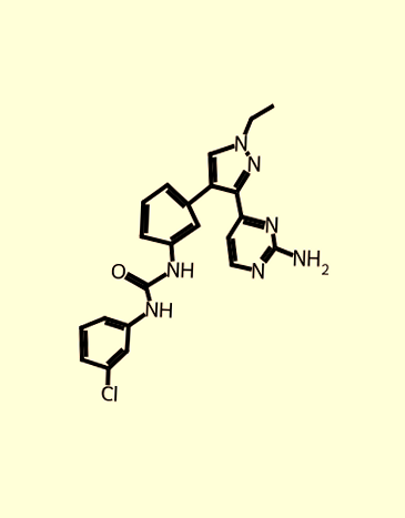 CCn1cc(-c2cccc(NC(=O)Nc3cccc(Cl)c3)c2)c(-c2ccnc(N)n2)n1